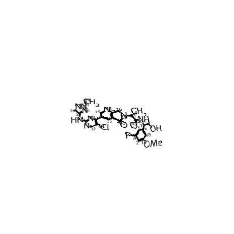 COc1cc(F)cc(C(CO)NC(=O)C(C)N2Cc3ncc(-c4nc(Nc5cnn(C)n5)ncc4Cl)cc3C2=O)c1